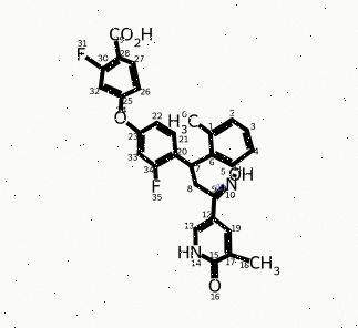 Cc1ccccc1C(C/C(=N\O)c1c[nH]c(=O)c(C)c1)c1ccc(Oc2ccc(C(=O)O)c(F)c2)cc1F